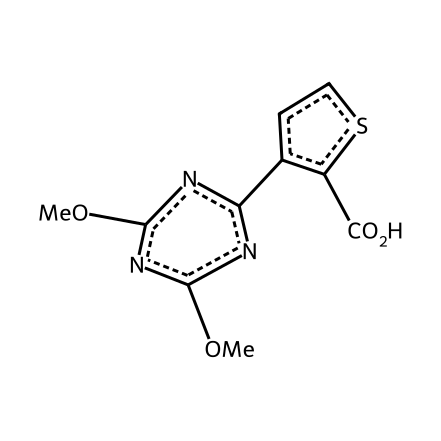 COc1nc(OC)nc(-c2ccsc2C(=O)O)n1